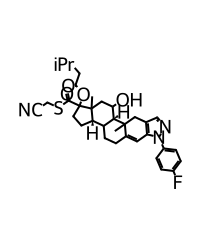 CC(C)CC(=O)OC1(C(=O)SCC#N)CC[C@H]2C3CCC4=Cc5c(cnn5-c5ccc(F)cc5)CC4(C)[C@H]3C(O)CC21C